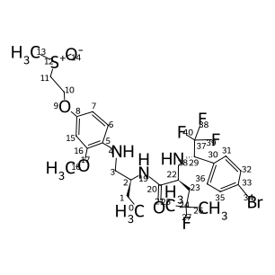 CC[C@@H](CNc1ccc(OCC[S+](C)[O-])cc1OC)NC(=O)[C@H](CC(C)(C)F)N[C@@H](c1ccc(Br)cc1)C(F)(F)F